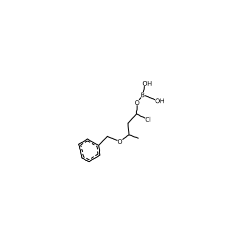 CC(CC(Cl)OB(O)O)OCc1ccccc1